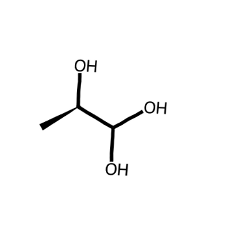 C[C@@H](O)C(O)O